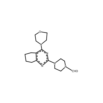 O=CN1CCN(c2nc3c(c(N4CCOCC4)n2)CCCC3)CC1